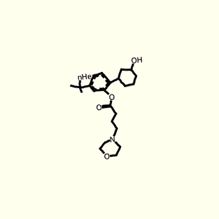 CCCCCCC(C)(C)c1ccc(C2CCCC(O)C2)c(OC(=O)CCCN2CCOCC2)c1